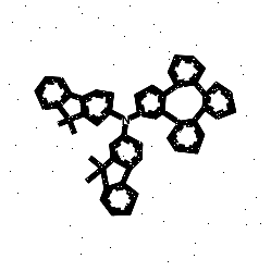 CC1(C)c2ccccc2-c2ccc(N(c3ccc4c(c3)-c3ccccc3-c3ccccc3-c3ccccc3-4)c3ccc4c(c3)C(C)(C)c3ccccc3-4)cc21